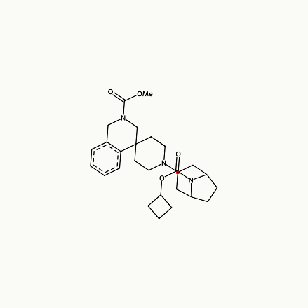 COC(=O)N1Cc2ccccc2C2(CCN(C3CC4CCC(C3)N4C(=O)OC3CCC3)CC2)C1